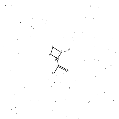 CC(=O)N1CC[C@@H]1C